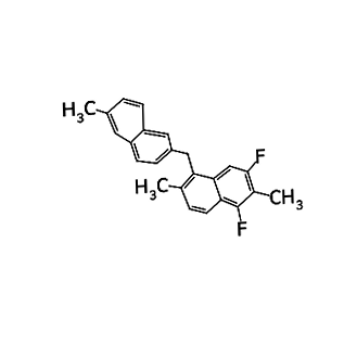 Cc1ccc2cc(Cc3c(C)ccc4c(F)c(C)c(F)cc34)ccc2c1